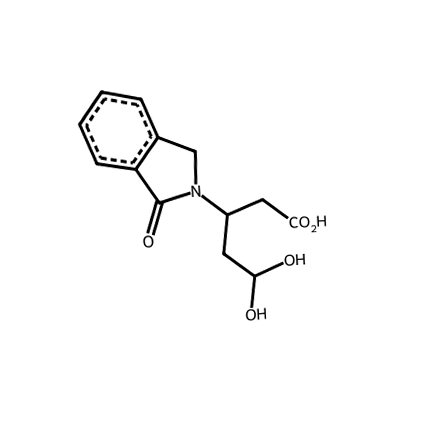 O=C(O)CC(CC(O)O)N1Cc2ccccc2C1=O